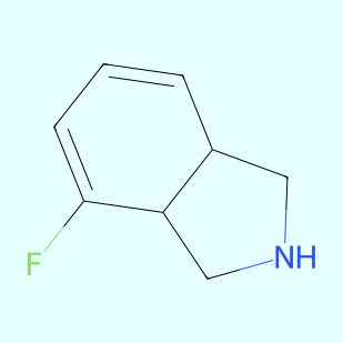 FC1=CC=CC2CNCC12